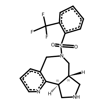 O=S(=O)(c1ccccc1C(F)(F)F)N1Cc2cccnc2[C@@H]2CNC[C@H]2C1